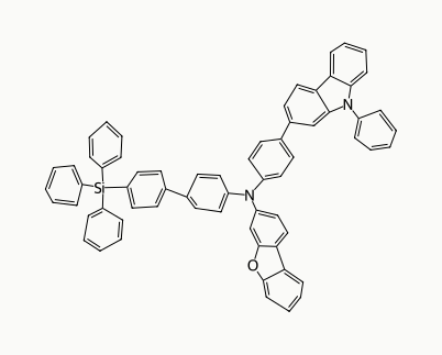 c1ccc(-n2c3ccccc3c3ccc(-c4ccc(N(c5ccc(-c6ccc([Si](c7ccccc7)(c7ccccc7)c7ccccc7)cc6)cc5)c5ccc6c(c5)oc5ccccc56)cc4)cc32)cc1